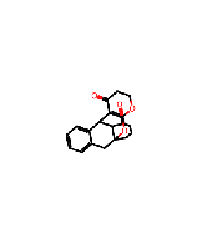 O=C1CCOC2=C1C1c3ccccc3CC3(CCCC(=O)C13)O2